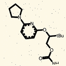 CC(C)(C)C(COC(N)=O)Oc1cccc(N2CCCC2)n1